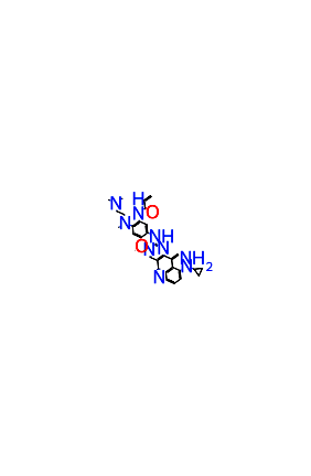 C=CC(=O)Nc1cc(Nc2ncc(C#N)c(C(=C)c3ccccc3N(N)C3CC3)n2)c(OC)cc1N(C)CCN(C)C